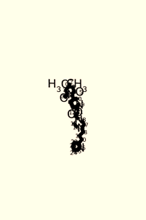 CC1(C)CC(=O)N(c2ccc(OC(=O)N3CCN(CCCc4ccccn4)CC3)nc2)C(=O)C1